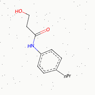 CCCc1ccc(NC(=O)CCO)cc1